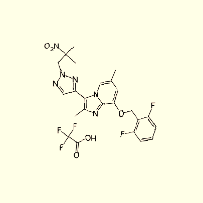 Cc1cc(OCc2c(F)cccc2F)c2nc(C)c(-c3cnn(CC(C)(C)[N+](=O)[O-])n3)n2c1.O=C(O)C(F)(F)F